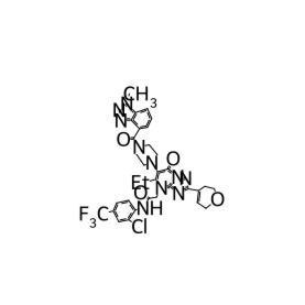 CCc1c(N2CCN(C(=O)c3cccc4c3nnn4C)CC2)c(=O)n2nc(C3=CCOCC3)nc2n1CC(=O)Nc1ccc(C(F)(F)F)cc1Cl